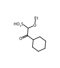 CCOC(C(=O)C1CCCCC1)S(=O)(=O)O